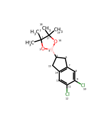 CC1(C)OB(C2Cc3cc(Cl)c(Cl)cc3C2)OC1(C)C